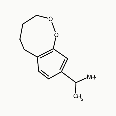 CC([NH])c1ccc2c(c1)OOCCCC2